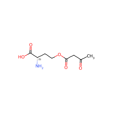 CC(=O)CC(=O)OCC[C@H](N)C(=O)O